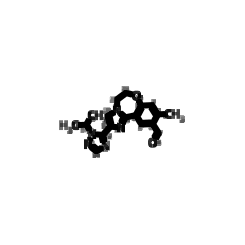 Cc1cc2c(cc1C=O)-c1nc(-c3ncnn3C(C)C)cn1CCO2